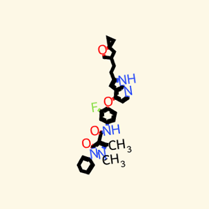 Cc1c(C(=O)Nc2ccc(Oc3ccnc4[nH]c(CCC5COC6(CC6)C5)cc34)c(F)c2)c(=O)n(C2=CCCC=C2)n1C